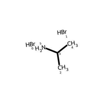 Br.Br.CC(C)N